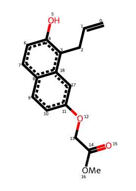 C=CCc1c(O)ccc2ccc(OCC(=O)OC)cc12